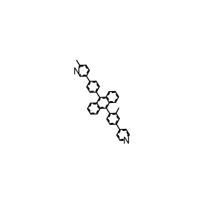 Cc1ccc(-c2ccc(-c3c4ccccc4c(-c4ccc(-c5ccncc5)cc4C)c4ccccc34)cc2)cn1